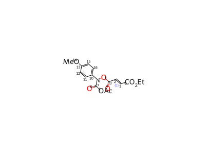 CCOC(=O)/C=C/C(=O)OC(C(=O)OC(C)=O)c1ccc(OC)cc1